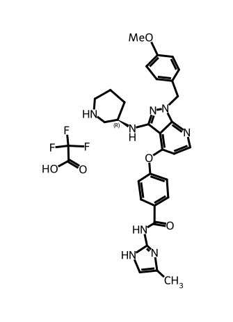 COc1ccc(Cn2nc(N[C@@H]3CCCNC3)c3c(Oc4ccc(C(=O)Nc5nc(C)c[nH]5)cc4)ccnc32)cc1.O=C(O)C(F)(F)F